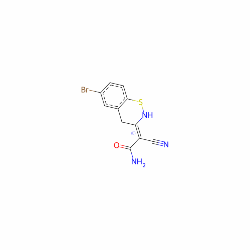 N#C/C(C(N)=O)=C1/Cc2cc(Br)ccc2SN1